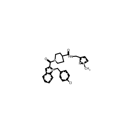 Cn1ccc(CNC(=O)C2CCN(C(=O)c3cc4ccccc4n3Cc3ccc(Cl)cc3)CC2)n1